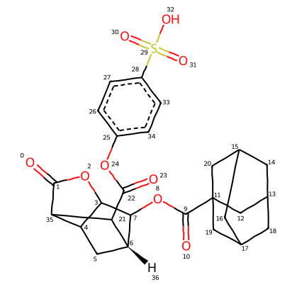 O=C1OC2C3C[C@@H](C2OC(=O)C24CC5CC(CC(C5)C2)C4)C(C(=O)Oc2ccc(S(=O)(=O)O)cc2)C13